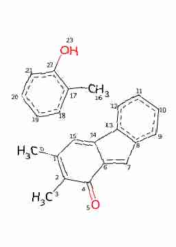 CC1=C(C)C(=O)C2=Cc3ccccc3C2=C1.Cc1ccccc1O